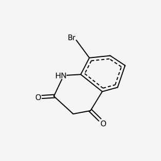 O=C1CC(=O)c2cccc(Br)c2N1